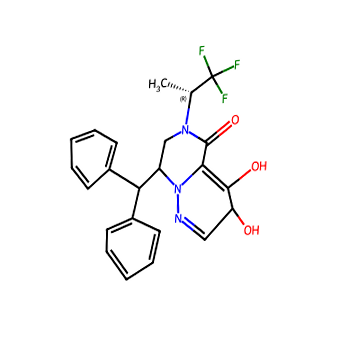 C[C@@H](N1CC(C(c2ccccc2)c2ccccc2)N2N=CC(O)C(O)=C2C1=O)C(F)(F)F